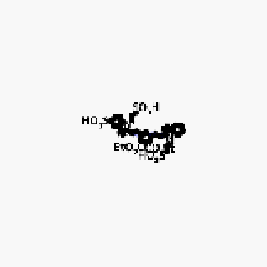 CCOC(=O)C1(C(=O)OCC)CC(/C=C/C2=[N+](CCCS(=O)(=O)O)c3ccc(S(=O)(=O)O)cc3C2(C)C)=CC(=C/C=C2/N(CCCS(=O)(=O)O)c3ccccc3C2(C)C)/C1